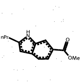 CCCc1cc2ccc(C(=O)OC)cc2[nH]1